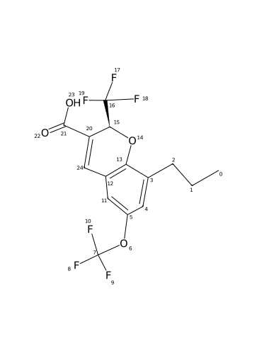 CCCc1cc(OC(F)(F)F)cc2c1O[C@H](C(F)(F)F)C(C(=O)O)=C2